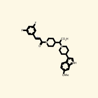 COc1ccc2c(C3CCN(C(C(=O)O)C4CCN(C(=O)/C=C/c5cc(F)cc(F)c5)CC4)CC3)c[nH]c2c1